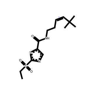 CCS(=O)(=O)c1ncc(C(=O)NCC/C=C\C(C)(C)C)s1